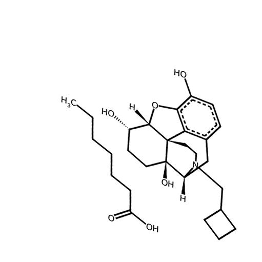 CCCCCCC(=O)O.Oc1ccc2c3c1O[C@H]1[C@@H](O)CC[C@@]4(O)[C@@H](C2)N(CC2CCC2)CC[C@]314